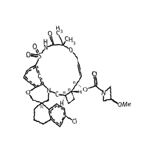 COC1CN(C(=O)O[C@H]2C=CCOC(C)(C)C(=O)NS(=O)(=O)c3ccc4c(c3)N(C[C@@H]3CC[C@H]32)C[C@@]2(CCCc3cc(Cl)ccc32)CO4)C1